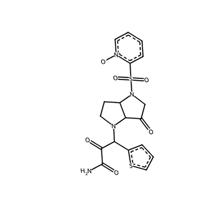 NC(=O)C(=O)C(c1cccs1)N1CCC2C1C(=O)CN2S(=O)(=O)c1cccc[n+]1[O-]